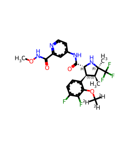 [2H]C([2H])([2H])Oc1c([C@H]2[C@H](C(=O)Nc3ccnc(C(=O)NOC)c3)N[C@@](C)(C(F)(F)F)[C@H]2C)ccc(F)c1F